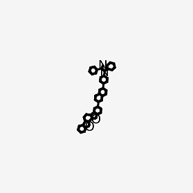 c1ccc(-c2nc3ccccc3n2-c2ccc(-c3ccc4cc(-c5ccc6oc7c(ccc8c9ccccc9oc87)c6c5)ccc4c3)cc2)cc1